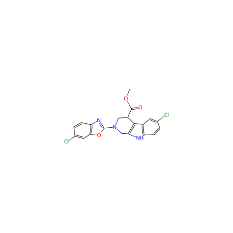 COC(=O)C1CN(c2nc3ccc(Cl)cc3o2)Cc2[nH]c3ccc(Cl)cc3c21